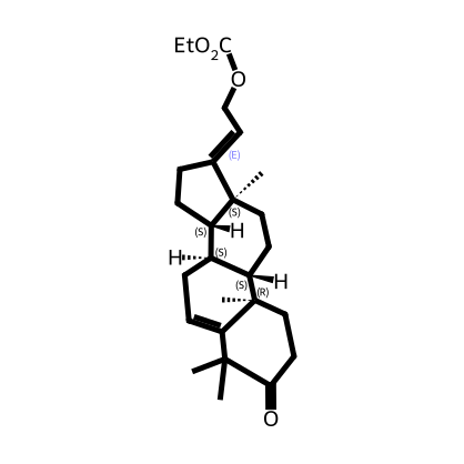 CCOC(=O)OC/C=C1\CC[C@H]2[C@@H]3CC=C4C(C)(C)C(=O)CC[C@]4(C)[C@H]3CC[C@]12C